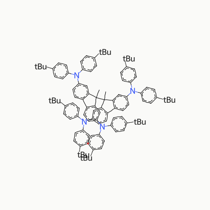 CC(C)(C)c1ccc(N(c2ccc(C(C)(C)C)cc2)c2ccc3c(c2)C(C)(C2(C)c4cc(N(c5ccc(C(C)(C)C)cc5)c5ccc(C(C)(C)C)cc5)ccc4-c4ccc(N(c5ccc(C(C)(C)C)cc5)c5ccc(C(C)(C)C)cc5)cc42)c2cc(N(c4ccc(C(C)(C)C)cc4)c4ccc(C(C)(C)C)cc4)ccc2-3)cc1